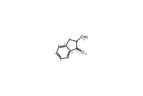 CC(=O)OC1Cc2ccccc2C1=O